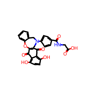 O=C(O)CNC(=O)c1ccc(N2Cc3ccccc3OC3=C2C(=O)c2c(O)ccc(O)c2C3=O)cc1